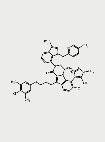 Cc1ccc(Cn2cc(C(=O)O)c3cccc(N4CC(C)n5c(c(CCCOc6cc(C)c(Cl)c(C)c6)c6ccc(Cl)c(-c7c(C)nn(C)c7C)c65)C4=O)c32)nc1